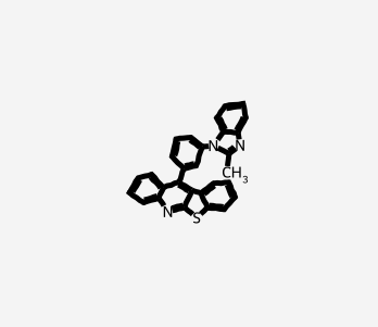 Cc1nc2ccccc2n1-c1cccc(-c2c3ccccc3nc3sc4ccccc4c23)c1